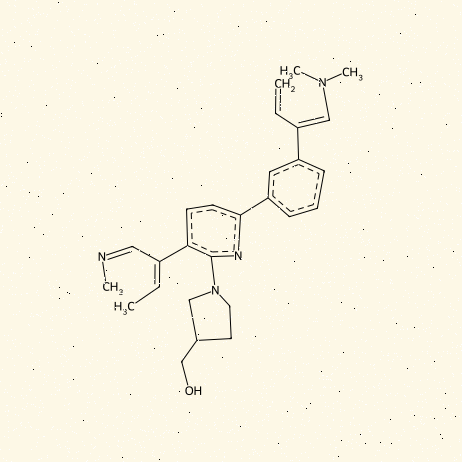 C=C/C(=C\N(C)C)c1cccc(-c2ccc(C(/C=N\C)=C/C)c(N3CCC(CO)C3)n2)c1